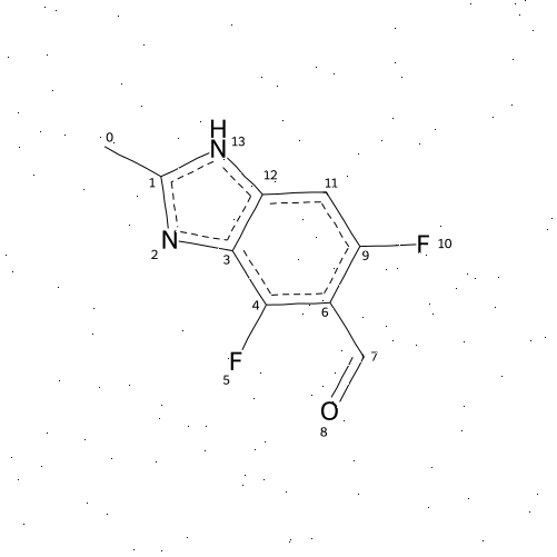 Cc1nc2c(F)c(C=O)c(F)cc2[nH]1